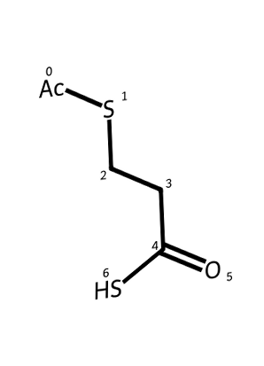 CC(=O)SCCC(=O)S